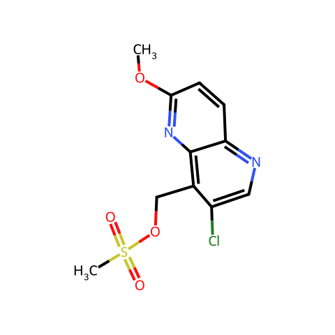 COc1ccc2ncc(Cl)c(COS(C)(=O)=O)c2n1